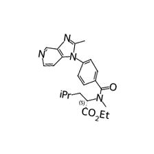 CCOC(=O)[C@H](CC(C)C)N(C)C(=O)c1ccc(-n2c(C)nc3cnccc32)cc1